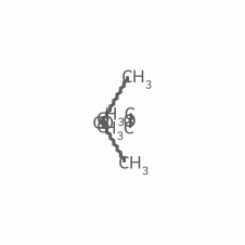 CCCCCCCCCCCCCCOS(=O)(=O)OCCCCCCCCCCCC.CCOCC